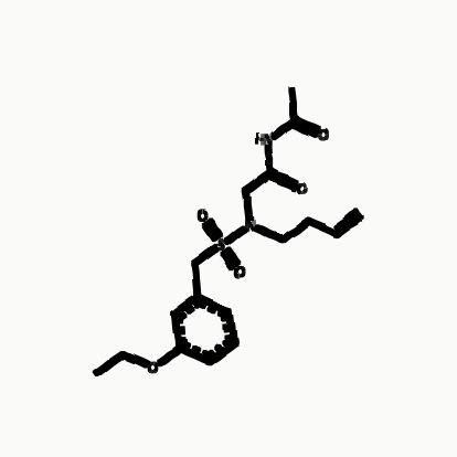 C=CCCN(CC(=O)NC(C)=O)S(=O)(=O)Cc1cccc(OCC)c1